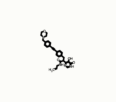 C=CCNC(=O)C(Cc1ccc(C#Cc2ccc(CN3CCOCC3)cc2)cc1)c1nc[nH]c(=O)c1O